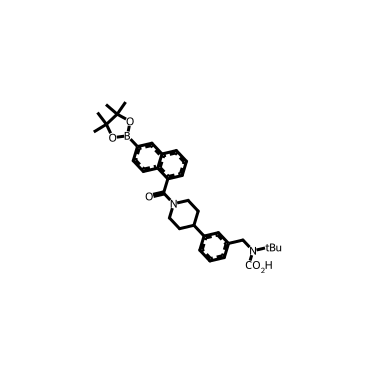 CC(C)(C)N(Cc1cccc(C2CCN(C(=O)c3cccc4cc(B5OC(C)(C)C(C)(C)O5)ccc34)CC2)c1)C(=O)O